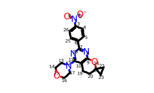 O=[N+]([O-])c1ccc(-c2nc3c(c(N4CCOCC4)n2)CCC2(CC2)O3)cc1